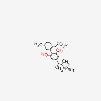 CCCCCC(C)C(C)c1cc(O)c(C2=C(CC(=O)O)CCC(C)C2)c(O)c1